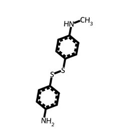 CNc1ccc(SSc2ccc(N)cc2)cc1